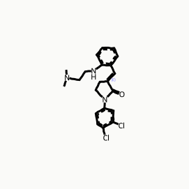 CN(C)CCNc1ccccc1/C=C1\CCN(c2ccc(Cl)c(Cl)c2)C1=O